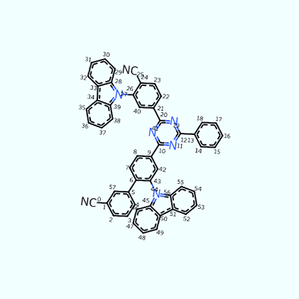 N#Cc1cccc(-c2ccc(-c3nc(-c4ccccc4)nc(-c4ccc(C#N)c(-n5c6ccccc6c6ccccc65)c4)n3)cc2-n2c3ccccc3c3ccccc32)c1